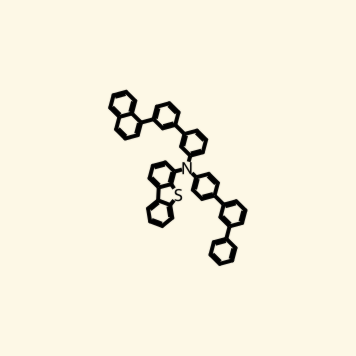 c1ccc(-c2cccc(-c3ccc(N(c4cccc(-c5cccc(-c6cccc7ccccc67)c5)c4)c4cccc5c4sc4ccccc45)cc3)c2)cc1